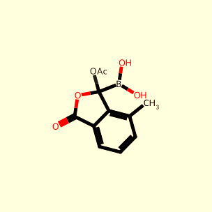 CC(=O)OC1(B(O)O)OC(=O)c2cccc(C)c21